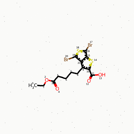 CCOC(=O)CCCCc1c(C(=O)O)sc2c(Br)sc(Br)c12